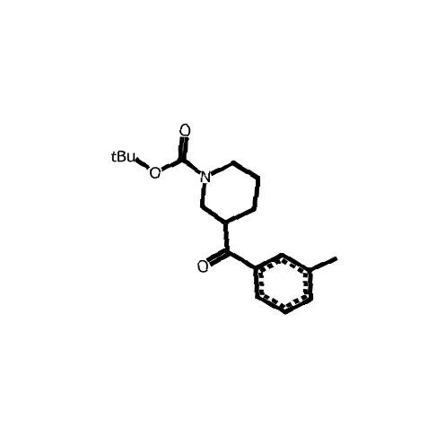 Cc1cccc(C(=O)C2CCCN(C(=O)OC(C)(C)C)C2)c1